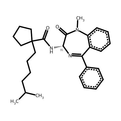 CC(C)CCCCC1(C(=O)N[C@H]2N=C(c3ccccc3)c3ccccc3N(C)C2=O)CCCC1